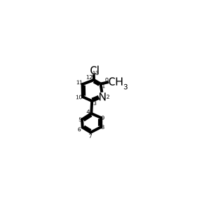 Cc1nc(-c2ccccc2)ccc1Cl